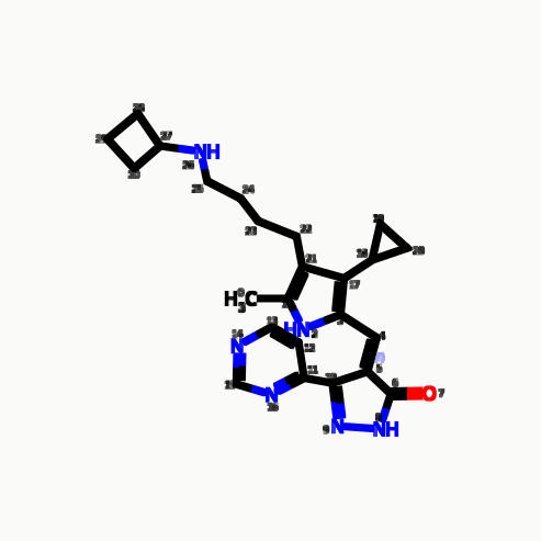 Cc1[nH]c(/C=C2/C(=O)NN=C2c2ccncn2)c(C2CC2)c1CCCCNC1CCC1